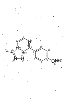 COc1ccc(-c2nccn3c(C)nnc23)cc1